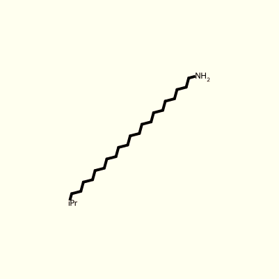 CC(C)CCCCCCCCCCCCCCCCCCCCCN